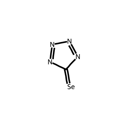 [Se]=C1N=NN=N1